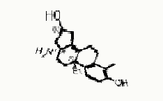 CC[C@@]12CC[C@@]3(N)C[C@@H](O)CC3=C1CCc1c2ccc(O)c1C